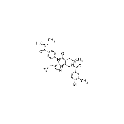 CCN(C)C(=O)c1ccc(-n2c(=O)c3c(n4ncc(CC5CC5)c24)CN(C(=O)c2ccc(Br)c(C)c2)[C@H](C)C3)cc1